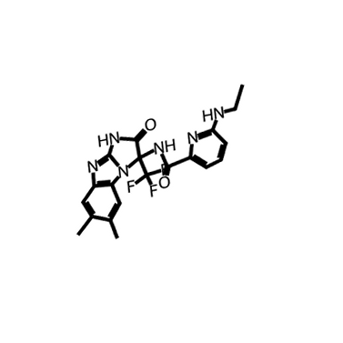 CCNc1cccc(C(=O)NC2(C(F)(F)F)C(=O)Nc3nc4cc(C)c(C)cc4n32)n1